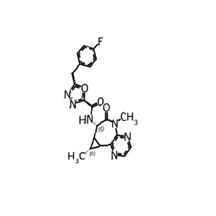 C[C@H]1C2c3nccnc3N(C)C(=O)[C@@H](NC(=O)c3nnc(Cc4ccc(F)cc4)o3)C21